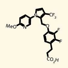 COc1ccc(-n2ccc(C(F)(F)F)c2COc2ccc(CCC(=O)O)c(F)c2F)cn1